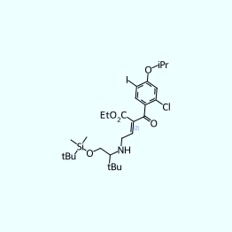 CCOC(=O)/C(=C\CNC(CO[Si](C)(C)C(C)(C)C)C(C)(C)C)C(=O)c1cc(I)c(OC(C)C)cc1Cl